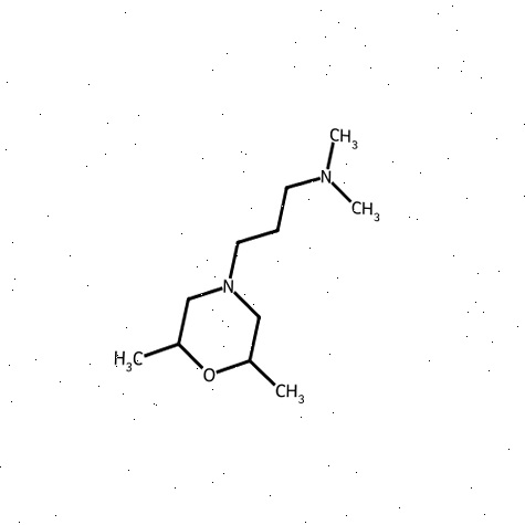 CC1CN(CCCN(C)C)CC(C)O1